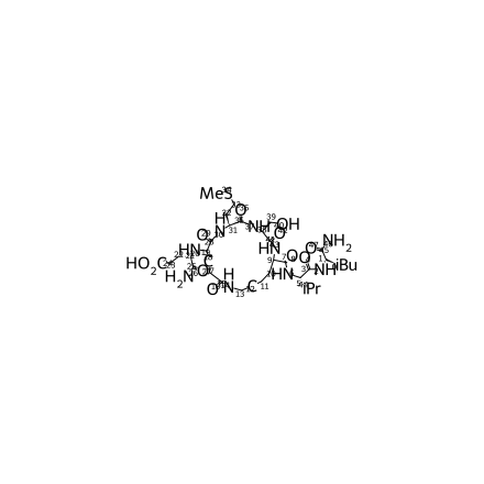 CC[C@H](C)[C@H](NC(=O)[C@@H](NC(=O)C1CCCCNC(=O)CCC(N[C@@H](CCC(=O)O)C(N)=O)C(=O)N[C@@H](CCSC)C(=O)N[C@@H](CO)C(=O)N1)C(C)C)C(N)=O